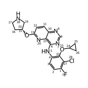 Fc1ccc(Nc2ncnc3ccc(O[C@H]4CCNC4)nc23)c(OC2CC2)c1Cl